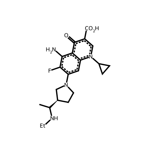 CCNC(C)[C@@H]1CCN(c2cc3c(c(N)c2F)c(=O)c(C(=O)O)cn3C2CC2)C1